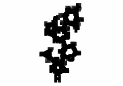 Cn1cnc2nc(C3=CC(c4c[nH]nc4C4CC4)OCC3)nc(-c3ccc(F)cc3F)c21